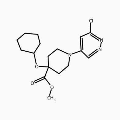 COC(=O)C1(OC2CCCCC2)CCN(c2cnnc(Cl)c2)CC1